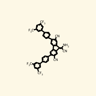 N#CC(N)=C1c2cc(C#N)c(-c3ccc(-c4cc(C(F)(F)F)cc(C(F)(F)F)c4)cc3)cc2-c2cc(-c3ccc(-c4cc(C(F)(F)F)cc(C(F)(F)F)c4)cc3)c(C#N)cc21